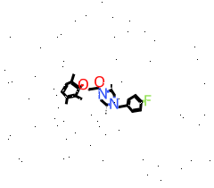 Cc1ccc(C)c(OCC(=O)N2C[C@@H](C)N(Cc3ccc(F)cc3)C[C@@H]2C)c1C